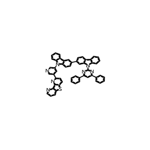 c1ccc(-c2cc(-c3ccccc3)nc(-n3c4ccccc4c4ccc(-c5ccc6c(c5)c5ccccc5n6-c5cncc(-c6ccc7sc8cccnc8c7n6)c5)cc43)n2)cc1